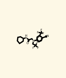 N#Cc1ccc(N(CC(=O)NC2CCCCC2)CC(F)(F)F)cc1C(F)(F)F